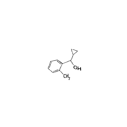 Cc1ccccc1C(O)C1CC1